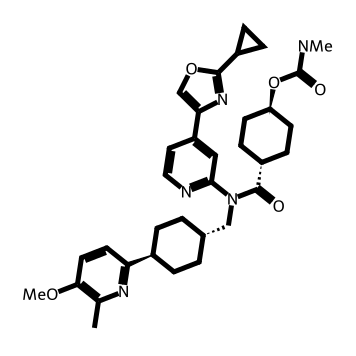 CNC(=O)O[C@H]1CC[C@H](C(=O)N(C[C@H]2CC[C@H](c3ccc(OC)c(C)n3)CC2)c2cc(-c3coc(C4CC4)n3)ccn2)CC1